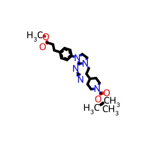 COC(=O)CCc1ccc(N2CCN(CCC3CCN(C(=O)OC(C)(C)C)CC3)C2=NC#N)cc1